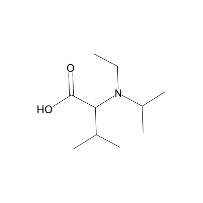 CCN(C(C)C)C(C(=O)O)C(C)C